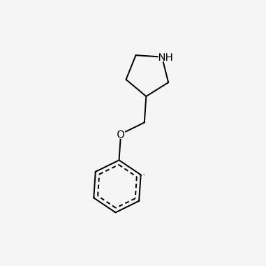 [c]1ccccc1OCC1CCNC1